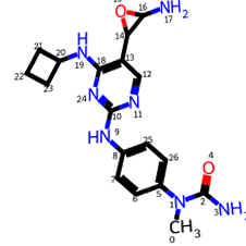 CN(C(N)=O)c1ccc(Nc2ncc(C3OC3N)c(NC3CCC3)n2)cc1